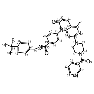 Cc1nc(N2CCN(C(=O)c3cccnc3)CC2)nc2c1ccc(=O)n2-c1ccc(C(=O)NCc2ccc(C(F)(F)F)cc2)cc1